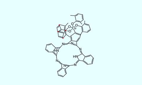 Cc1cccc(C)c1[O][Cu]([O]c1c(C)cccc1C)([O]c1c(C)cccc1C)([O]c1c(C)cccc1C)[c]1ccc2c(c1)-c1nc-2nc2[nH]c(nc3nc(nc4[nH]c(n1)c1ccccc41)-c1ccccc1-3)c1ccccc21